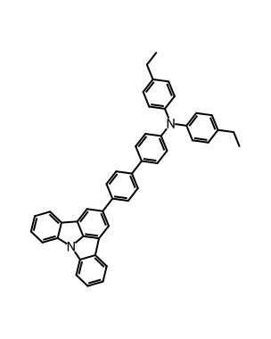 CCc1ccc(N(c2ccc(CC)cc2)c2ccc(-c3ccc(-c4cc5c6ccccc6n6c7ccccc7c(c4)c56)cc3)cc2)cc1